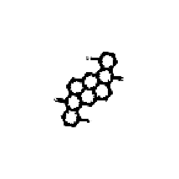 O=c1c2cccc(Br)c2c2cc3ccc4c(=O)c5cccc(Br)c5c5cc6ccc1c2c6c3c45